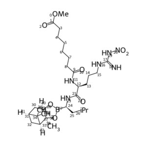 COC(=O)CCCCCCC(=O)N[C@@H](CCCNC(=N)N[N+](=O)[O-])C(=O)N[C@@H](CC(C)C)B1O[C@@H]2C[C@@H]3C[C@@H](C3(C)C)[C@]2(C)O1